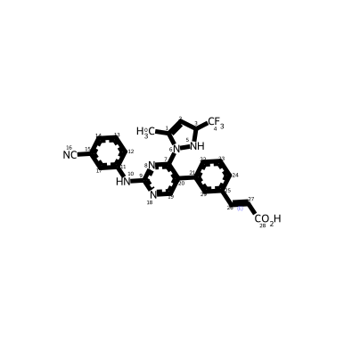 CC1=CC(C(F)(F)F)NN1c1nc(Nc2cccc(C#N)c2)ncc1-c1cccc(/C=C/C(=O)O)c1